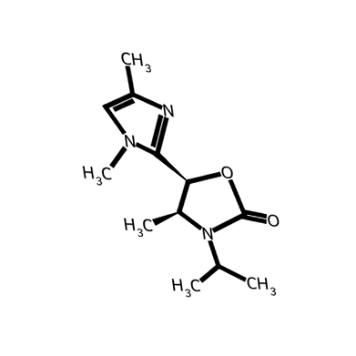 Cc1cn(C)c([C@H]2OC(=O)N(C(C)C)[C@H]2C)n1